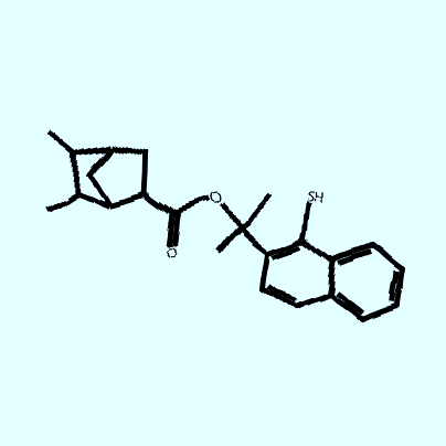 CC1C2CC(C(=O)OC(C)(C)c3ccc4ccccc4c3S)C(C2)C1C